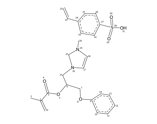 C=C(C)C(=O)OC(COc1ccccc1)CN1C=CN(C)C1.C=Cc1ccc(S(=O)(=O)O)cc1